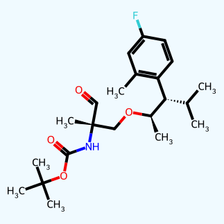 Cc1cc(F)ccc1[C@H](C(C)C)[C@@H](C)OC[C@@](C)(C=O)NC(=O)OC(C)(C)C